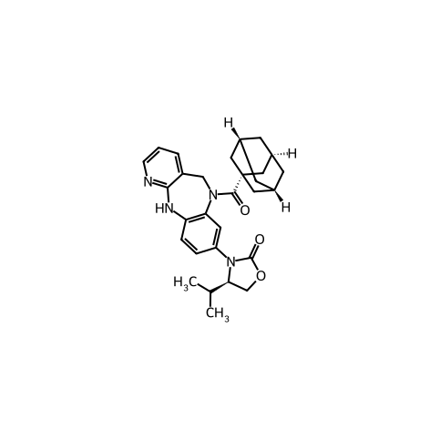 CC(C)[C@@H]1COC(=O)N1c1ccc2c(c1)N(C(=O)[C@]13C[C@H]4C[C@H](C[C@H](C4)C1)C3)Cc1cccnc1N2